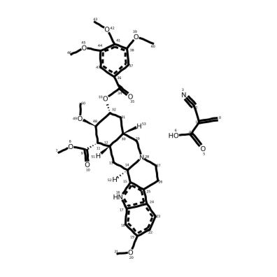 C=C(C#N)C(=O)O.COC(=O)[C@H]1[C@H]2C[C@@H]3c4[nH]c5cc(OC)ccc5c4CCN3C[C@H]2C[C@@H](OC(=O)c2cc(OC)c(OC)c(OC)c2)[C@@H]1OC